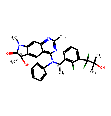 Cc1nc(N(c2ccccc2)[C@H](C)c2cccc(C(F)(F)C(C)(C)O)c2F)c2cc3c(cc2n1)N(C)C(=O)[C@]3(C)O